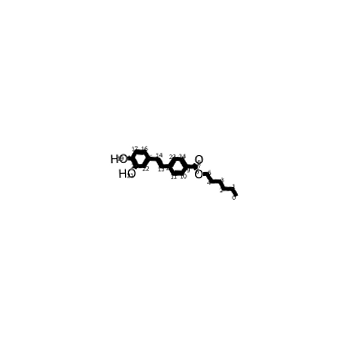 CCCCCCOC(=O)c1ccc(C=Cc2ccc(O)c(O)c2)cc1